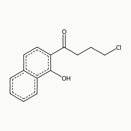 O=C(CCCCl)c1ccc2ccccc2c1O